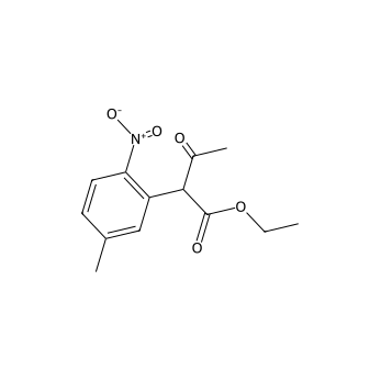 CCOC(=O)C(C(C)=O)c1cc(C)ccc1[N+](=O)[O-]